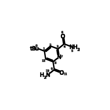 CC(C)(C)c1cc(C(N)=O)nc(C(N)=O)c1